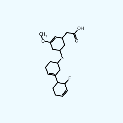 COC1=CC(CC(=O)O)CC(SC2CCC=C(C3CCC=CC3F)C2)C1